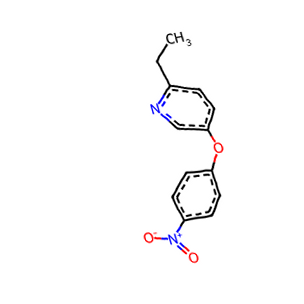 CCc1ccc(Oc2ccc([N+](=O)[O-])cc2)cn1